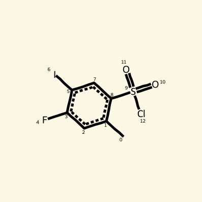 Cc1cc(F)c(I)cc1S(=O)(=O)Cl